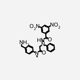 CN(C(=O)CN(NC(=O)c1cc([N+](=O)[O-])cc([N+](=O)[O-])c1)c1ccccc1)c1ccc(CN)cc1